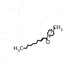 CCCCCCCC=CC(=O)N1CCN(C)CC1